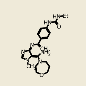 C=C(/N=C1/N=CN(C)/C1=C(/N)N1CCCOCC1)c1ccc(NC(=O)NCC)cc1